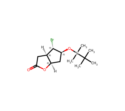 CC(C)(C)[Si](C)(C)O[C@H]1C[C@H]2OC(=O)C[C@H]2[C@@H]1Br